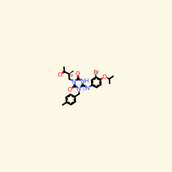 CC(=O)[C@@H](C)Cn1c(=O)[nH]/c(=N\c2ccc(OC(C)C)c(Br)c2)n(Cc2ccc(C)cc2)c1=O